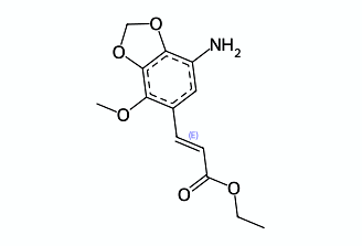 CCOC(=O)/C=C/c1cc(N)c2c(c1OC)OCO2